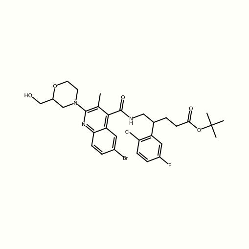 Cc1c(N2CCOC(CO)C2)nc2ccc(Br)cc2c1C(=O)NCC(CCC(=O)OC(C)(C)C)c1cc(F)ccc1Cl